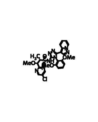 COc1cccc(OC)c1-n1c(NS(=O)(=O)[C@@H](C)[C@H](OC)c2ncc(Cl)cn2)nnc1-c1cnn2ccccc12